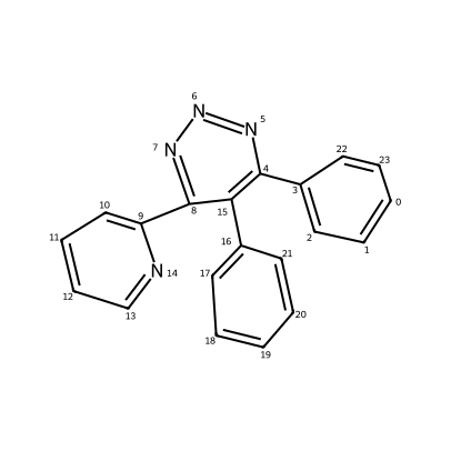 c1ccc(-c2nnnc(-c3ccccn3)c2-c2ccccc2)cc1